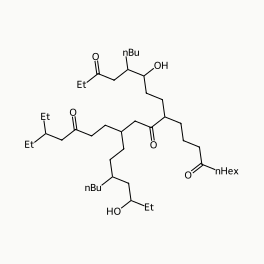 CCCCCCC(=O)CCCC(CCC(O)C(CCCC)CC(=O)CC)C(=O)CC(CCC(=O)CC(CC)CC)CCC(CCCC)CC(O)CC